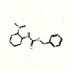 CN(C)C1CCCCC1NC(=O)OCc1ccccc1